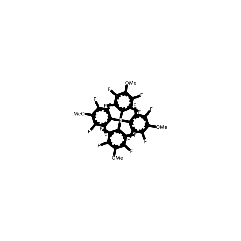 COc1c(F)c(F)c([B-](c2c(F)c(F)c(OC)c(F)c2F)(c2c(F)c(F)c(OC)c(F)c2F)c2c(F)c(F)c(OC)c(F)c2F)c(F)c1F